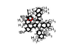 Bc1c(B)c(B)c(-c2cc(C(C)(C)C)ccc2-c2cc3c4c(c2)N(c2ccc(C(C)(C)C)cc2)c2c(sc5cc6c(cc25)C(C)(C)CCC6(C)C)B4c2cc4c(cc2N3c2ccc3c(c2)C(C)(C)CCC3(C)C)C(C)(C)CCC4(C)C)c(B)c1B